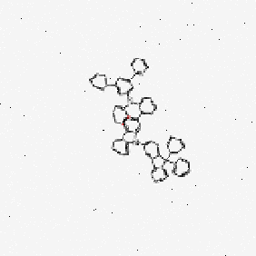 c1ccc(-c2cc(-c3ccccc3)cc(N(c3ccccc3)c3ccccc3-c3ccc4c5ccccc5n(-c5ccc6c(c5)-c5ccccc5C6(c5ccccc5)c5ccccc5)c4c3)c2)cc1